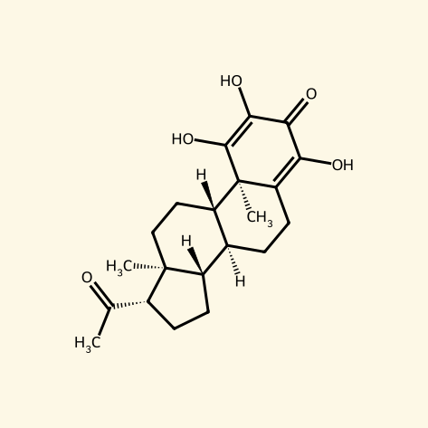 CC(=O)[C@H]1CC[C@H]2[C@@H]3CCC4=C(O)C(=O)C(O)=C(O)[C@]4(C)[C@H]3CC[C@]12C